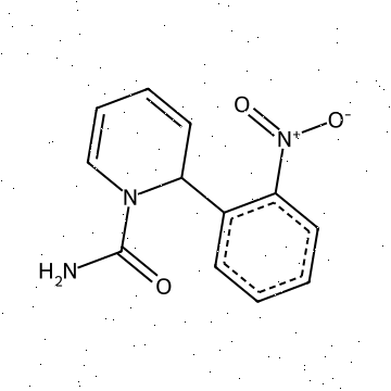 NC(=O)N1C=CC=CC1c1ccccc1[N+](=O)[O-]